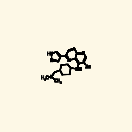 CC(=O)c1cnc2ccc(-c3cn[nH]c3)nc2c1NC1CCC(CN(C)C)CC1